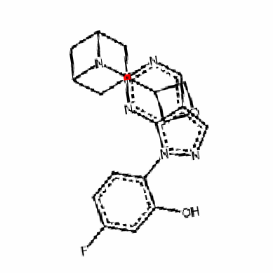 Oc1cc(F)ccc1-n1ncc2cnc(N3C4CC3CN(C3COC3)C4)nc21